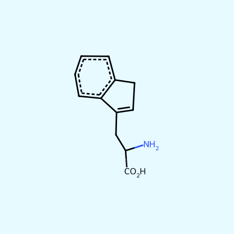 NC(CC1=CCc2ccccc21)C(=O)O